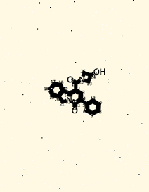 O=C(c1cc(-c2ccccc2)c(=O)n2c1-c1ccccc1C2)N1CC(O)C1